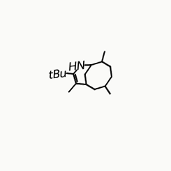 CC1=C(C(C)(C)C)NC2CC1CC(C)CCC2C